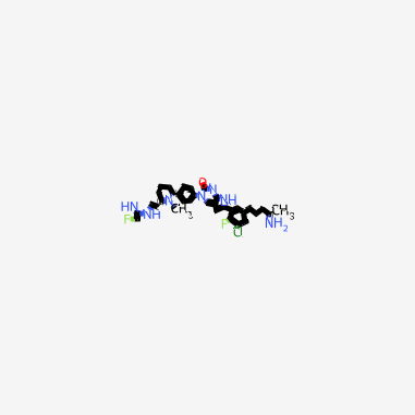 C[C@H](N)CCCc1cc(Cl)c(F)c(-c2cc3cn(-c4ccc([C@@H]5CCC[C@@H](CCNC(=N)CF)N5C)cc4)c(=O)nc3[nH]2)c1